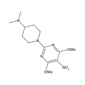 COc1nc(N2CCC(N(C)C)CC2)nc(OC)c1[N+](=O)[O-]